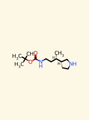 C[C@@H](CCNC(=O)OC(C)(C)C)[C@H]1CCNC1